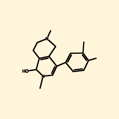 Cc1ccc(C2=CN(C)C(O)C3=C2CN(C)CC3)cc1C